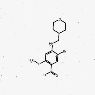 COc1cc(NCC2CCOCC2)c(Br)cc1[N+](=O)[O-]